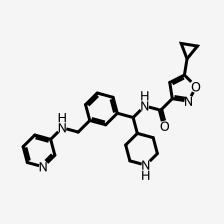 O=C(NC(c1cccc(CNc2cccnc2)c1)C1CCNCC1)c1cc(C2CC2)on1